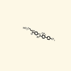 Cc1cc(-c2ccc(C(F)(F)F)cc2)ccc1C(Oc1ccc(C(=O)NCCC(=O)O)cc1)C(C)C